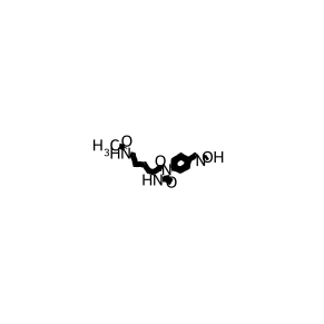 CC(=O)NCCCCC1NC(=O)N(c2ccc(C=NO)cc2)C1=O